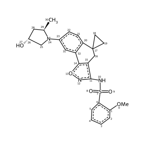 COc1ccccc1S(=O)(=O)Nc1noc2c1CC1(CC1)c1ccc(N3C[C@H](O)C[C@H]3C)cc1-2